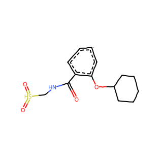 O=C(NC[SH](=O)=O)c1cc[c]cc1OC1CCCCC1